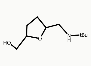 CC(C)(C)NCC1CCC(CO)O1